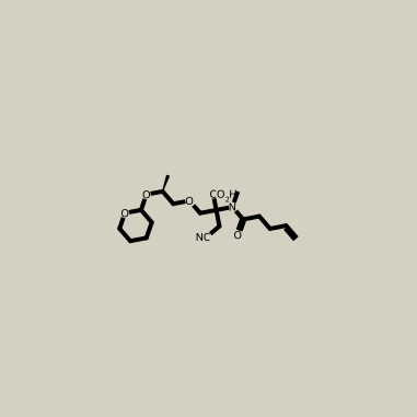 C=CCCC(=O)N(C)C(CC#N)(COC[C@H](C)OC1CCCCO1)C(=O)O